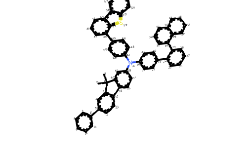 CC1(C)c2cc(-c3ccccc3)ccc2-c2ccc(N(c3ccc(-c4ccccc4-c4cccc5ccccc45)cc3)c3ccc(-c4cccc5c4sc4ccccc45)cc3)cc21